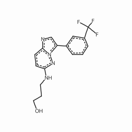 OCCCNc1ccc2ncc(-c3cccc(C(F)(F)F)c3)n2n1